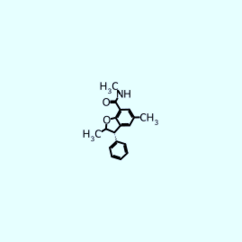 CNC(=O)c1cc(C)cc2c1OC(C)[C@H]2c1ccccc1